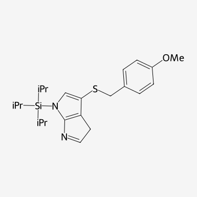 COc1ccc(CSc2cn([Si](C(C)C)(C(C)C)C(C)C)c3c2CC=N3)cc1